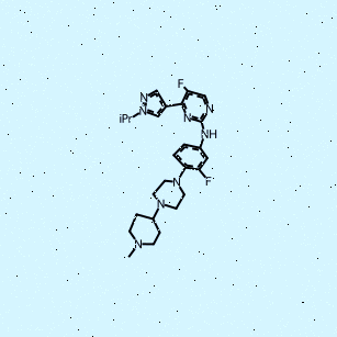 CC(C)n1cc(-c2nc(Nc3ccc(N4CCN(C5CCN(C)CC5)CC4)c(F)c3)ncc2F)cn1